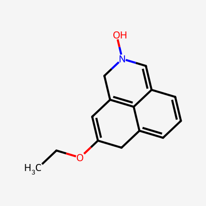 CCOC1=CC2=c3c(cccc3=CN(O)C2)C1